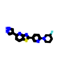 FC1CCCN(c2ccc(-c3nc4nc(-c5cn[nH]c5)ccc4s3)cn2)C1